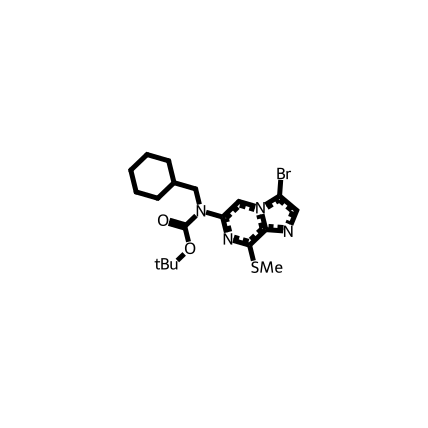 CSc1nc(N(CC2CCCCC2)C(=O)OC(C)(C)C)cn2c(Br)cnc12